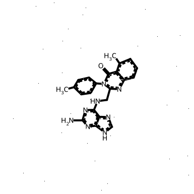 Cc1ccc(-n2c(CNc3nc(N)nc4[nH]cnc34)nc3cccc(C)c3c2=O)cc1